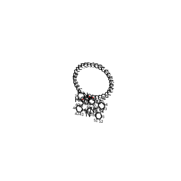 O=C(O)N1CCCCCCCCCCCCCCCCCCCCCCCCCCCCCC12CCC/C(=C\c1ccccc1-c1cn(C(c3ccccc3)(c3ccccc3)c3ccccc3)cn1)C2=O